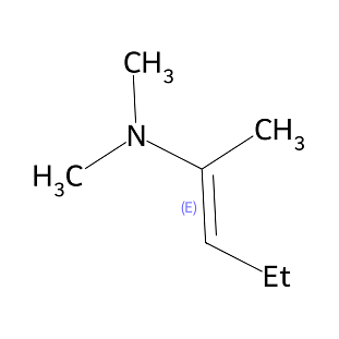 CC/C=C(\C)N(C)C